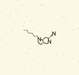 CCCCCCn1ccc2cnc(C#N)cc21